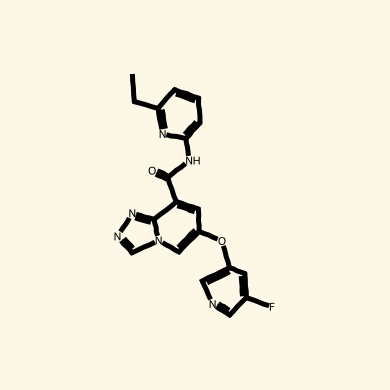 CCc1cccc(NC(=O)c2cc(Oc3cncc(F)c3)cn3cnnc23)n1